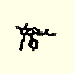 N#CCOc1cc(Cl)c(Cl)c2c1c(-c1cn[nH]c1)c1n2CC[C@@H]1NC(=O)CO